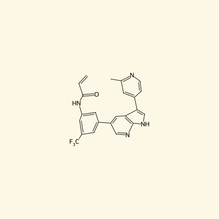 C=CC(=O)Nc1cc(-c2cnc3[nH]cc(-c4ccnc(C)c4)c3c2)cc(C(F)(F)F)c1